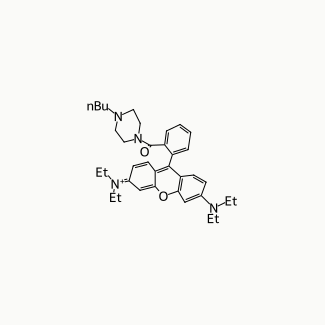 CCCCN1CCN(C(=O)c2ccccc2-c2c3ccc(=[N+](CC)CC)cc-3oc3cc(N(CC)CC)ccc23)CC1